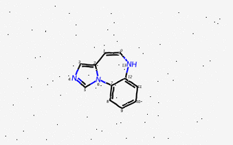 C1=Cc2cncn2-c2ccccc2N1